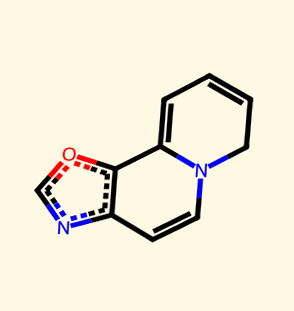 C1=CCN2C=Cc3ncoc3C2=C1